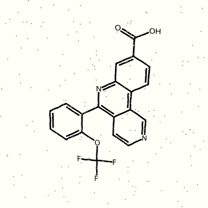 O=C(O)c1ccc2c(c1)nc(-c1ccccc1OC(F)(F)F)c1ccncc12